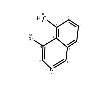 Cc1cccc2cncc(Br)c12